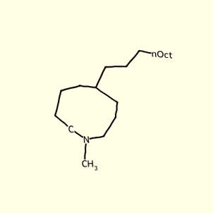 CCCCCCCCCCCC1CCCCN(C)CCC1